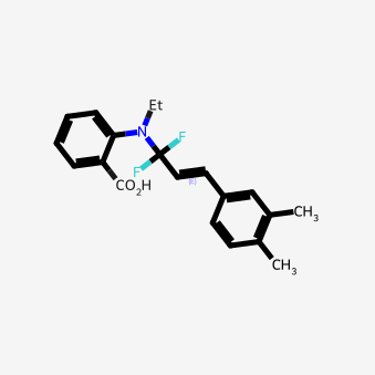 CCN(c1ccccc1C(=O)O)C(F)(F)/C=C/c1ccc(C)c(C)c1